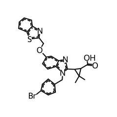 CC1(C)C(C(=O)O)C1c1nc2cc(OCc3nc4ccccc4s3)ccc2n1Cc1ccc(Br)cc1